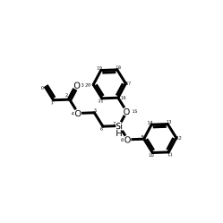 C=CC(=O)OCC[SiH](Oc1ccccc1)Oc1ccccc1